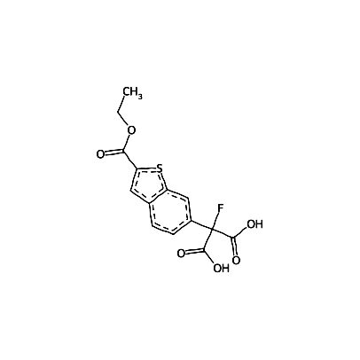 CCOC(=O)c1cc2ccc(C(F)(C(=O)O)C(=O)O)cc2s1